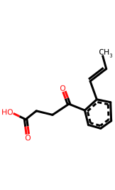 CC=Cc1ccccc1C(=O)CCC(=O)O